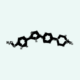 COc1ccc(-c2ncc(-c3ccc(N4CC[S+]([O-])CC4)cc3)s2)cn1